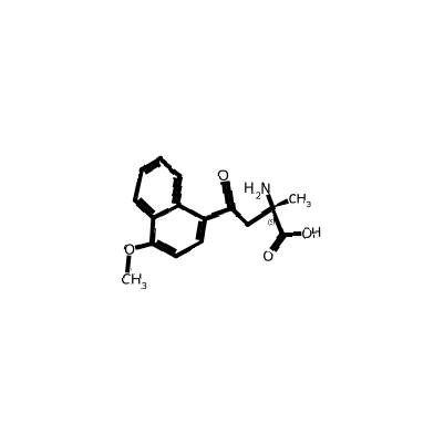 COc1ccc(C(=O)C[C@](C)(N)C(=O)O)c2ccccc12